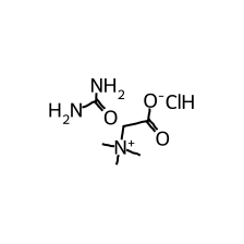 C[N+](C)(C)CC(=O)[O-].Cl.NC(N)=O